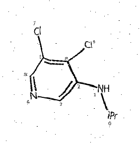 CC(C)Nc1cncc(Cl)c1Cl